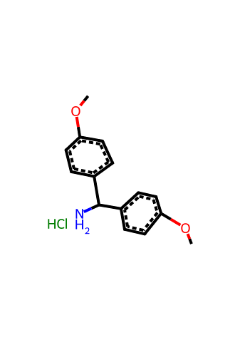 COc1ccc(C(N)c2ccc(OC)cc2)cc1.Cl